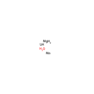 O.[LiH].[MgH2].[Mn]